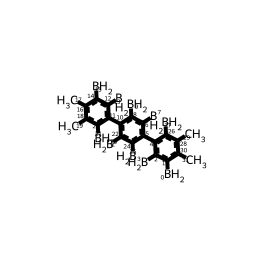 Bc1c(B)c(-c2c(B)c(B)c(-c3c(B)c(B)c(C)c(C)c3B)c(B)c2B)c(B)c(C)c1C